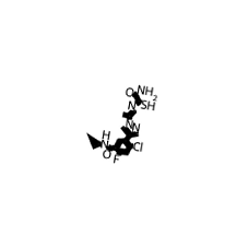 C/C(=C\N=C(/S)C(N)=O)n1cc(-c2cc(C(=O)NC3CC3)c(F)cc2Cl)cn1